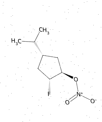 CC(C)[C@H]1C[C@@H](F)[C@H](O[N+](=O)[O-])C1